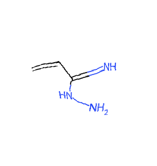 C=CC(=N)NN